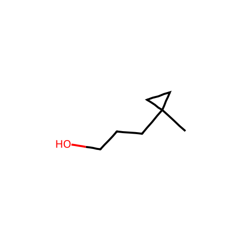 CC1(CCCO)CC1